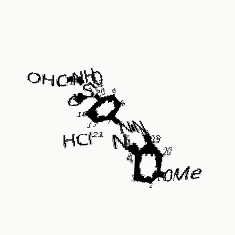 COc1ccc2nn(-c3ccc(S(=O)(=O)NC=O)cc3)nc2c1.Cl